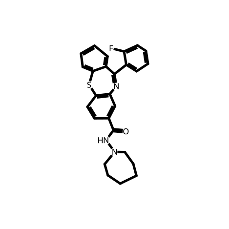 O=C(NN1CCCCCC1)c1ccc2c(c1)N=C(c1ccccc1F)c1ccccc1S2